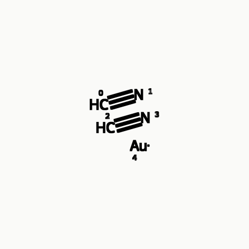 C#N.C#N.[Au]